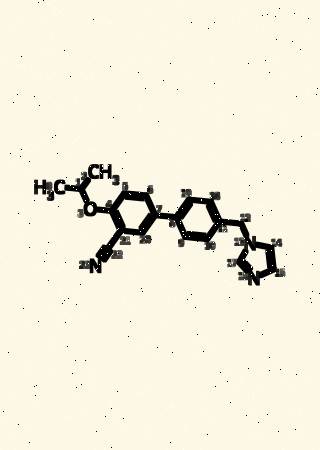 CC(C)Oc1ccc(-c2ccc(Cn3ccnc3)cc2)cc1C#N